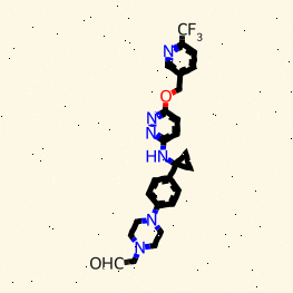 O=CCN1CCN(c2ccc(C3(Nc4ccc(OCc5ccc(C(F)(F)F)nc5)nn4)CC3)cc2)CC1